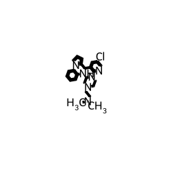 CN(C)CCN1CCN(c2ncc(Cl)cc2C2Nc3ccccc3-n3cccc32)CC1